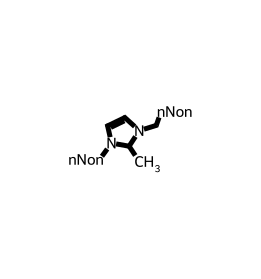 CCCCCCCCCCN1C=CN(CCCCCCCCC)C1C